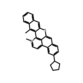 Cc1c2c(cc3ccccc13)Sc1cc3ccc(C4CCCC4)cc3c3cc[n+](C)c-2c13